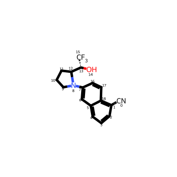 N#Cc1cccc2cc(N3CCCC3[C@@H](O)C(F)(F)F)ccc12